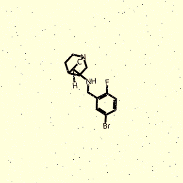 Fc1ccc(Br)cc1CN[C@H]1CN2CCC1CC2